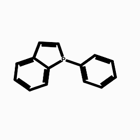 c1ccc(-p2ccc3ccccc32)cc1